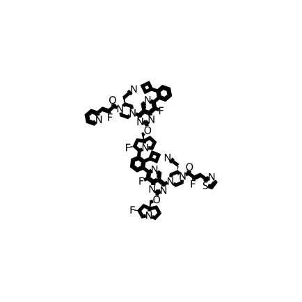 N#CC[C@H]1CN(c2nc(OC[C@@]34CCCN3C(c3cccc(-c5ncc6c(N7CCN(C(=O)/C(F)=C/c8nccs8)[C@@H](CC#N)C7)nc(OC[C@@]78CCCN7C[C@H](F)C8)nc6c5F)c3C3CCC3)[C@H](F)C4)nc3c(F)c(-c4ccccc4C4CCC4)ncc23)CCN1C(=O)/C(F)=C/c1ccccn1